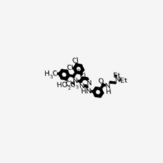 CCN(CC)CCNC(=O)c1cccc(Nc2nccc(N(C(=O)O)C(c3cc(Cl)ccc3Cl)c3c(C)cc(C)cc3C)n2)c1